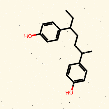 CCC(CCC(C)c1ccc(O)cc1)c1ccc(O)cc1